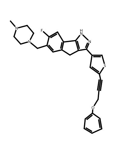 CN1CCN(Cc2cc3c(cc2F)-c2[nH]nc(-c4csc(C#CCOc5ccccc5)c4)c2C3)CC1